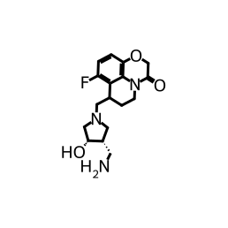 NC[C@H]1CN(CC2CCN3C(=O)COc4ccc(F)c2c43)C[C@H]1O